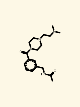 CC(=O)NCc1cccc(C(=O)N2CCN(CCN(C)C)CC2)c1